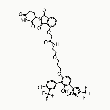 Cn1nc(C(F)(F)F)cc1-c1ccc(OCCCOCCNC(=O)COc2cccc3c2C(=O)N(C2CCC(=O)NC2=O)C3=O)c(-c2ccc(Cl)c(C(F)(F)F)c2)c1O